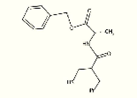 CC(C)CC(CS)C(=O)N[C@@H](C)C(=O)OCc1ccccc1